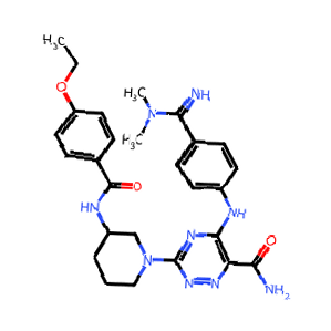 CCOc1ccc(C(=O)NC2CCCN(c3nnc(C(N)=O)c(Nc4ccc(C(=N)N(C)C)cc4)n3)C2)cc1